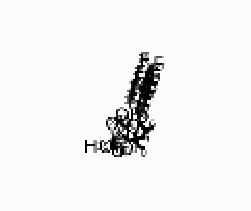 CCC(C)(CC(C)C(=O)OCC(F)(F)C(F)(F)C(F)(F)C(F)(F)C(F)(F)C(F)F)C(=O)N(CC(=O)O)CC(=O)O